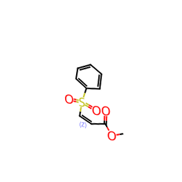 COC(=O)/C=C\S(=O)(=O)c1ccccc1